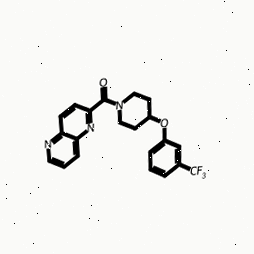 O=C(c1ccc2ncccc2n1)N1CCC(Oc2cccc(C(F)(F)F)c2)CC1